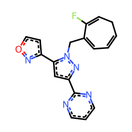 FC1=CCC=CC=C1Cn1nc(-c2ncccn2)cc1-c1ccon1